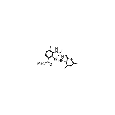 COC(=O)c1ccc(C)c(NS(=O)(=O)N2C=C3N=C(C)C=C(C)N3N2)c1Br